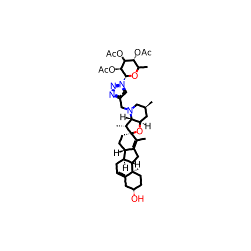 CC(=O)OC1[C@H](OC(C)=O)C(C)O[C@H](n2cc(CN3C[C@@H](C)C[C@H]4O[C@]5(CC[C@@H]6C(=C5C)C[C@H]5[C@H]6CC=C6C[C@@H](O)CC[C@@]65C)[C@H](C)[C@@H]43)nn2)[C@H]1OC(C)=O